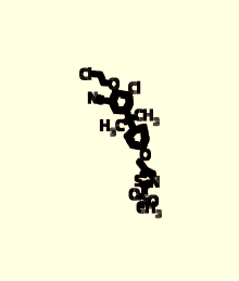 CC(C)(c1ccc(OCc2cnc(S(C)(=O)=O)s2)cc1)c1cc(Cl)c(OCCCl)c(C#N)c1